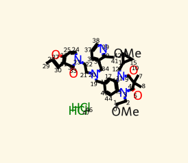 COCCN1C(=O)C(C)(C)C(=O)N(CC2CC2)c2cc(CN(CCn3ccc4oc(C)cc4c3=O)Cc3cccnc3COC)ccc21.Cl.Cl